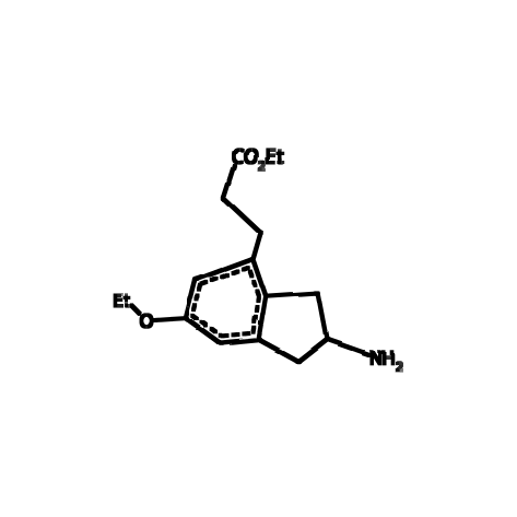 CCOC(=O)CCc1cc(OCC)cc2c1CC(N)C2